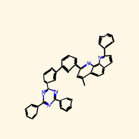 Cc1cc(-c2cccc(-c3cccc(-c4nc(-c5ccccc5)nc(-c5ccccc5)n4)c3)c2)nc2c1ccc1ccc(-c3ccccc3)nc12